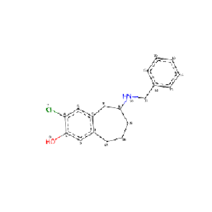 Oc1cc2c(cc1Cl)CC(NCc1ccccc1)CCC2